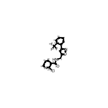 O=C(NCc1cc(-c2ccccc2C(F)(F)F)no1)c1cccnc1Cl